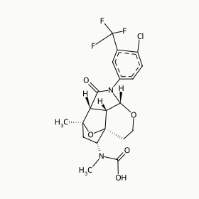 CN(C(=O)O)[C@@H]1C[C@]2(C)O[C@]13CCO[C@@H]1[C@H]3[C@H]2C(=O)N1c1ccc(Cl)c(C(F)(F)F)c1